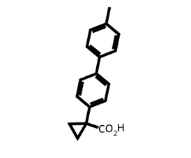 Cc1ccc(-c2ccc(C3(C(=O)O)CC3)cc2)cc1